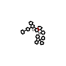 c1ccc(-c2ccc(-c3c4ccccc4cc4c3oc3cc(N(c5ccc6c(c5)C(c5ccccc5)(c5ccccc5)c5ccccc5-6)c5ccccc5-c5ccccc5)ccc34)cc2)cc1